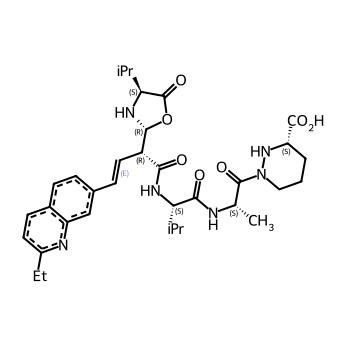 CCc1ccc2ccc(/C=C/[C@@H](C(=O)N[C@H](C(=O)N[C@@H](C)C(=O)N3CCC[C@@H](C(=O)O)N3)C(C)C)[C@@H]3N[C@@H](C(C)C)C(=O)O3)cc2n1